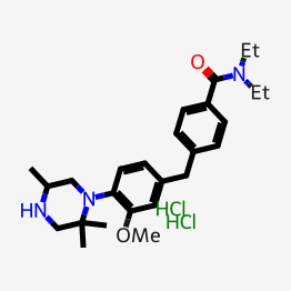 CCN(CC)C(=O)c1ccc(Cc2ccc(N3CC(C)NCC3(C)C)c(OC)c2)cc1.Cl.Cl